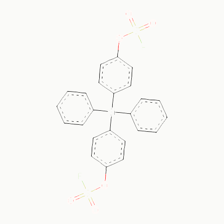 O=S(=O)(F)Oc1ccc([Si](c2ccccc2)(c2ccccc2)c2ccc(OS(=O)(=O)F)cc2)cc1